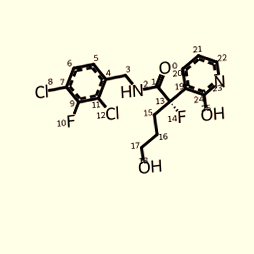 O=C(NCc1ccc(Cl)c(F)c1Cl)[C@](F)(CCCO)c1cccnc1O